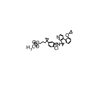 CS(=O)(=O)OCCCC1(c2ccc(Cl)c(CNC3(c4cnccc4-c4ccccc4OC4CC4)CC3)c2)CC1